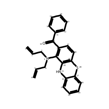 C=CCN(CC=C)c1c(C(=O)c2ccccc2)ccc2c1Nc1ccccc1S2